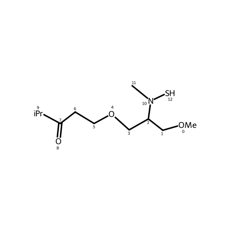 COCC(COCCC(=O)C(C)C)N(C)S